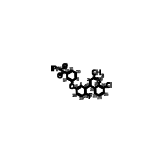 Cc1cc(-c2cc(Oc3cccc(S(=O)(=O)C(C)C)c3)ccc2F)c2cccc(Cl)c2n1